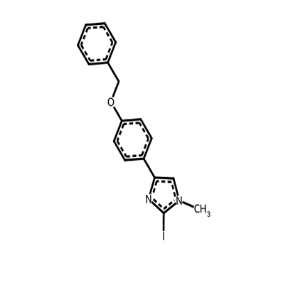 Cn1cc(-c2ccc(OCc3ccccc3)cc2)nc1I